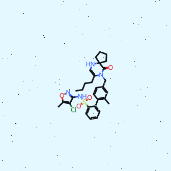 CCCCC1=CNC2(CCCC2)C(=O)N1Cc1ccc(-c2ccccc2S(=O)(=O)Nc2noc(C)c2Cl)c(C)c1